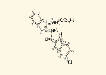 O=C(O)NC[C@H]1c2ccccc2C[C@H]1NC(=O)c1cc2cc(Cl)ccc2[nH]1